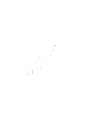 Cc1ccc(-n2ncc3c(NN=Cc4ccc(NC(=O)O)nc4)ncnc32)cc1